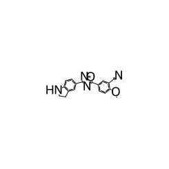 COc1ccc(-c2nc(-c3ccc4c(c3)CCN4)no2)cc1C#N